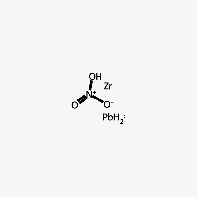 O=[N+]([O-])O.[PbH2].[Zr]